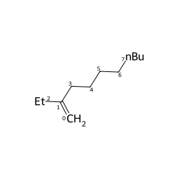 C=C(CC)CCCCCCCC